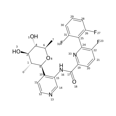 C[C@@H]1[C@@H](O)[C@H](O)[C@@H](C)O[C@H]1c1ccncc1NC(=O)c1ccc(F)c(-c2c(F)cccc2F)n1